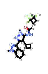 Cn1nc(-c2nn(C)c3ccccc23)c(C2CCC2)c1NC(=O)C[C@H]1CC(F)(F)C1(F)F